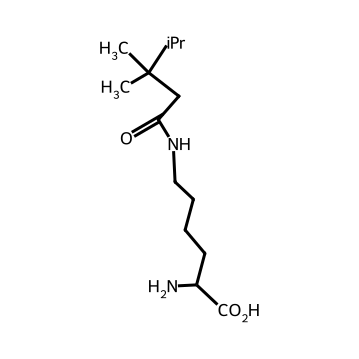 CC(C)C(C)(C)CC(=O)NCCCCC(N)C(=O)O